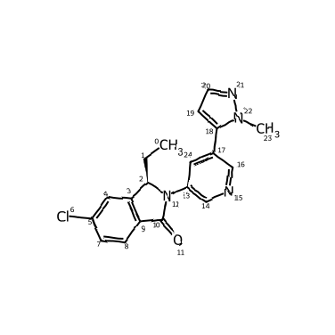 CC[C@@H]1c2cc(Cl)ccc2C(=O)N1c1cncc(-c2ccnn2C)c1